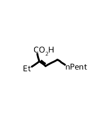 CCCCCC/C=C(/CC)C(=O)O